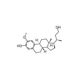 COc1cc2c(cc1O)CC[C@@H]1[C@@H]2CC[C@]2(C)[C@@H]([C@H](C)CCO)CC[C@@H]12